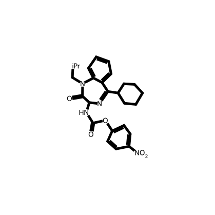 CC(C)CN1C(=O)C(NC(=O)Oc2ccc([N+](=O)[O-])cc2)N=C(C2CCCCC2)c2ccccc21